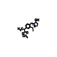 COC(=O)C(C)c1ccc(/C=C2\SCCC2O)c(CI)c1